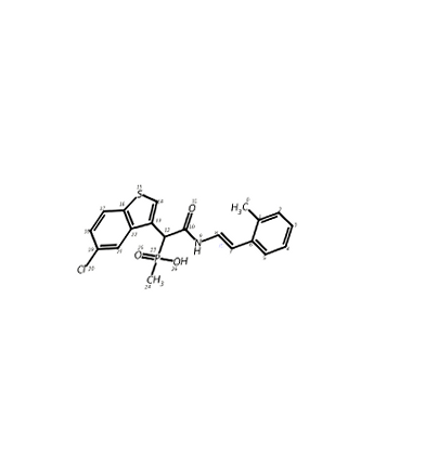 Cc1ccccc1/C=C/NC(=O)C(c1csc2ccc(Cl)cc12)P(C)(=O)O